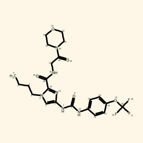 CCCCn1cc(NC(=O)Nc2ccc(OC(F)(F)F)cc2)nc1C(=O)NCC(=O)N1CCOCC1